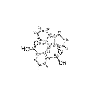 O=C(O)c1cccc(C(=O)O)c1-n1c2ccccc2c2ccccc21